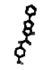 C[C@H]1CC[C@@H](NC(=O)c2cc3sc(-c4ccccc4)nc3[nH]2)CC1